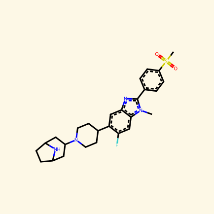 Cn1c(-c2ccc(S(C)(=O)=O)cc2)nc2cc(C3CCN(C4CC5CCC(C4)N5)CC3)c(F)cc21